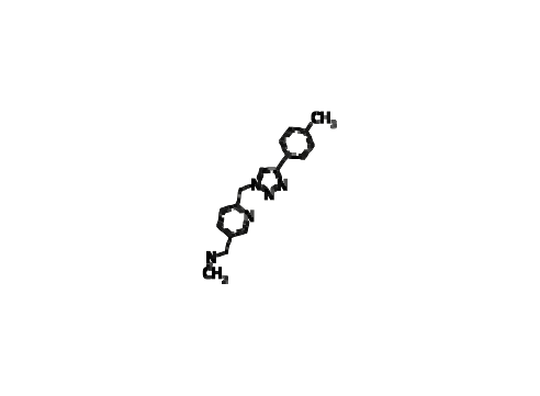 C=NCc1ccc(Cn2cc(-c3ccc(C)cc3)nn2)nc1